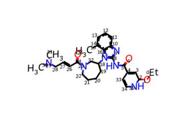 CCOC1C=C(C(=O)Nc2nc3cccc(C)c3n2C2CCCCN(C(=O)/C=C/CN(C)C)C2)C=CN1